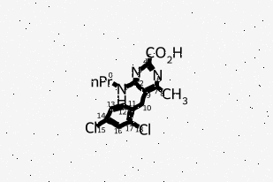 CCCNc1nc(C(=O)O)nc(C)c1Cc1ccc(Cl)cc1Cl